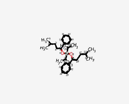 CC(C)CCC(O[Si](OC(CCC(C)C)c1ccccc1)(C(C)C)C(C)C)c1ccccc1